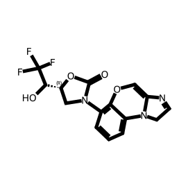 O=C1O[C@@H](C(O)C(F)(F)F)CN1c1cccc2c1OC=C1N=CCN12